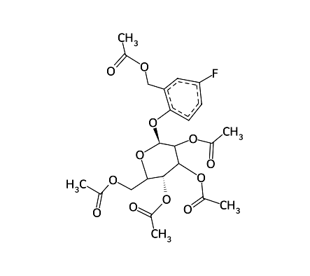 CC(=O)OCc1cc(F)ccc1O[C@@H]1OC(COC(C)=O)[C@@H](OC(C)=O)C(OC(C)=O)C1OC(C)=O